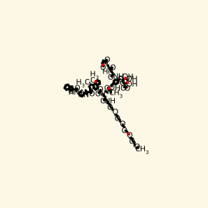 CC[C@@H]1CN(C(=O)c2cn3cc(NC(=O)c4cc5ccccc5o4)ccc3n2)c2cc(OC(=O)N(CCC(=O)NCCOCCOCCOCCOCCOCCOCCOCCOC)CCN(C)C(=O)OCc3ccc(O[C@@H]4O[C@H](C(=O)O)[C@@H](O)[C@H](O)[C@H]4O)c(NC(=O)CNC(=O)CCN4C(=O)C=CC4=O)c3)c3cccc(C)c3c21